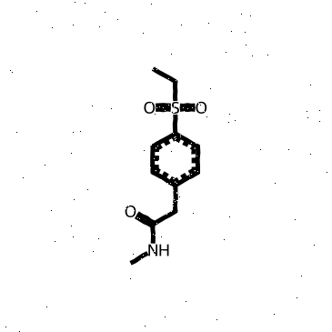 CCS(=O)(=O)c1ccc(CC(=O)NC)cc1